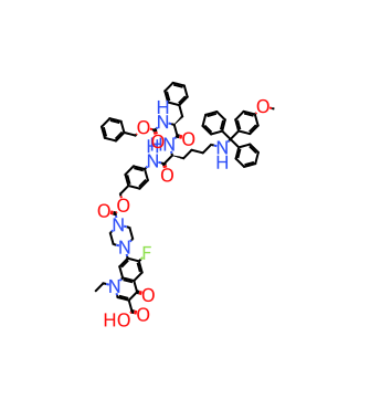 CCn1cc(C(=O)O)c(=O)c2cc(F)c(N3CCN(C(=O)OCc4ccc(NC(=O)[C@H](CCCCNC(c5ccccc5)(c5ccccc5)c5ccc(OC)cc5)NC(=O)[C@H](Cc5ccccc5)NC(=O)OCc5ccccc5)cc4)CC3)cc21